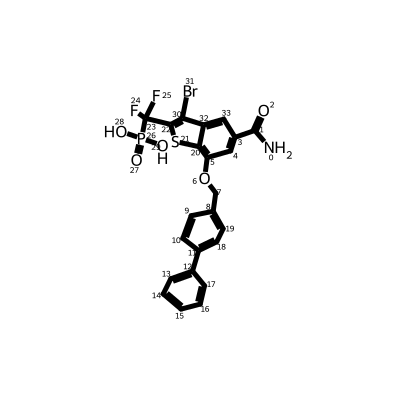 NC(=O)c1cc(OCc2ccc(-c3ccccc3)cc2)c2sc(C(F)(F)P(=O)(O)O)c(Br)c2c1